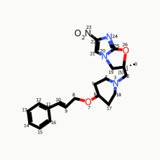 C[C@]1(CN2CCC(OCC=Cc3ccccc3)CC2)Cn2cc([N+](=O)[O-])nc2O1